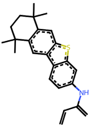 C=CC(=C)Nc1ccc2c(c1)sc1cc3c(cc12)C(C)(C)CCC3(C)C